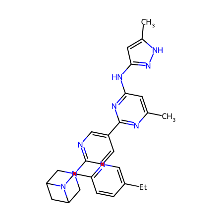 CCc1ccc(CN2C3CC2CN(c2ccc(-c4nc(C)cc(Nc5cc(C)[nH]n5)n4)cn2)C3)nc1